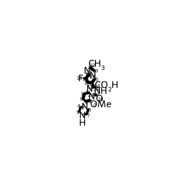 COC1=C(N2CCNCC2)C=CC2=NC(C(=O)O)(c3cc(F)c4nc(C)cn4c3)NC(=O)N21